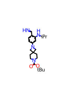 CC(C)Nc1cc(N2CC3(CCN(C(=O)OC(C)(C)C)CC3)C2)ccc1C=N